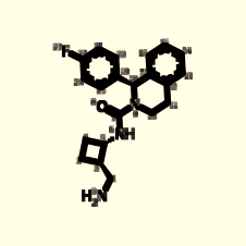 NC[C@H]1CC[C@@H]1NC(=O)N1CCc2ccccc2[C@@H]1c1ccc(F)cc1